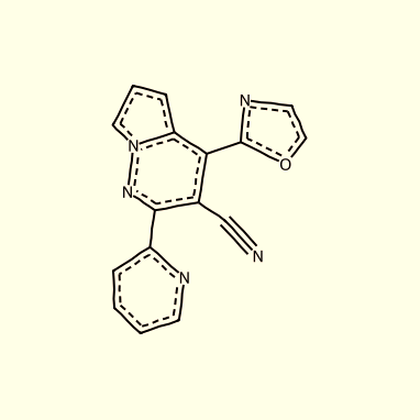 N#Cc1c(-c2ccccn2)nn2cccc2c1-c1ncco1